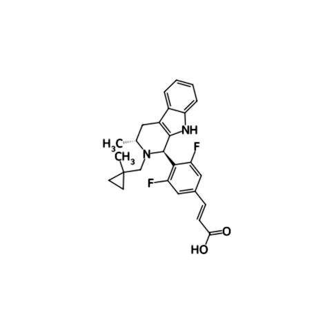 C[C@@H]1Cc2c([nH]c3ccccc23)[C@@H](c2c(F)cc(/C=C/C(=O)O)cc2F)N1CC1(C)CC1